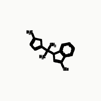 CC1=CC=C(C(C)(C)C2C=C(C(C)(C)C)c3ccccc32)C1